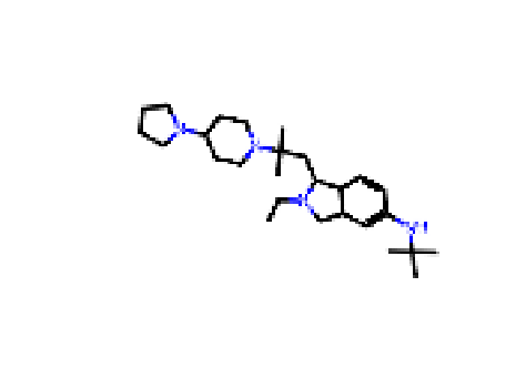 CCN1CC2C=C(NC(C)(C)C)C=CC2C1CC(C)(C)N1CCC(N2CCCC2)CC1